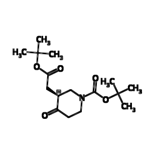 CC(C)(C)OC(=O)C[C@H]1CN(C(=O)OC(C)(C)C)CCC1=O